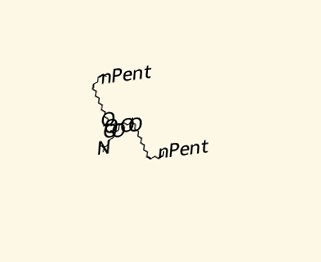 CCCCC/C=C\C/C=C\CCCCCCCCOC(C)OCC(COC(C)OCCCCCCCC/C=C\C/C=C\CCCCC)OC(=O)CCCN(C)C